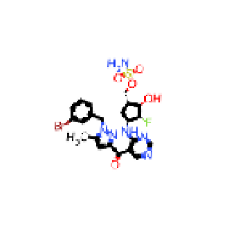 Cc1cc(C(=O)c2cncnc2N[C@@H]2C[C@H](COS(N)(=O)=O)[C@@H](O)[C@@H]2F)nn1Cc1cccc(Br)c1